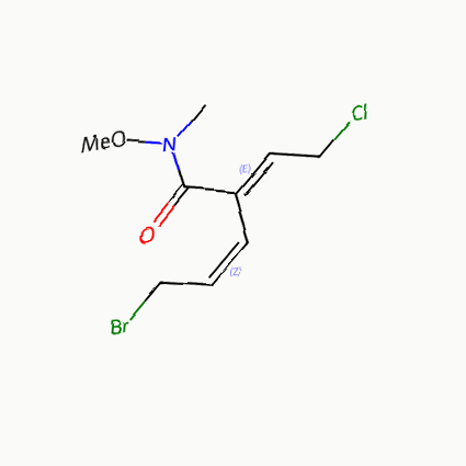 CON(C)C(=O)C(/C=C\CBr)=C/CCl